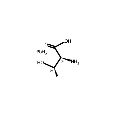 C[C@@H](O)[C@H](N)C(=O)O.[PbH2]